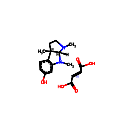 CN1CC[C@@]2(C)c3ccc(O)cc3N(C)[C@@H]12.O=C(O)/C=C/C(=O)O